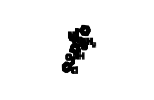 NS(=O)(=O)c1cc(NC(=O)Cc2ccccc2Cl)ccc1-c1cnn(Cc2ccccc2)c1